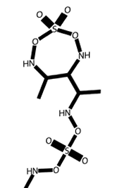 CNOS(=O)(=O)ONC(C)C1NOS(=O)(=O)ONC1C